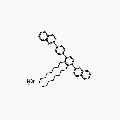 Br.Br.CCCCCCCCc1c(-c2ccc(-c3ccc4ccccc4n3)cc2)ccc(-c2ccc3ccccc3n2)c1CCCCCCCC